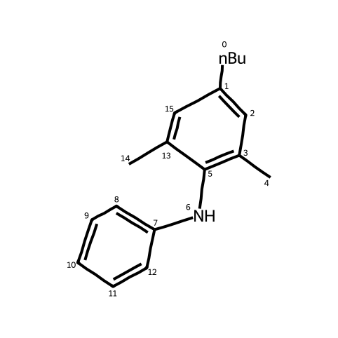 CCCCc1cc(C)c(Nc2ccccc2)c(C)c1